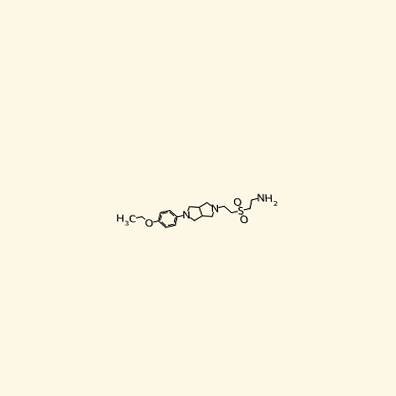 CCOc1ccc(N2CC3CN(CCS(=O)(=O)CCN)CC3C2)cc1